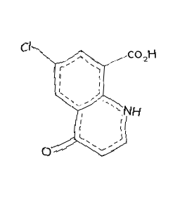 O=C(O)c1cc(Cl)cc2c(=O)cc[nH]c12